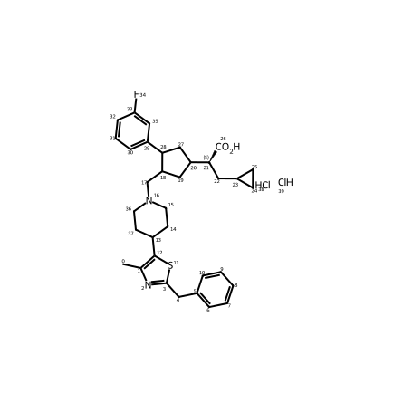 Cc1nc(Cc2ccccc2)sc1C1CCN(CC2CC([C@H](CC3CC3)C(=O)O)CC2c2cccc(F)c2)CC1.Cl.Cl